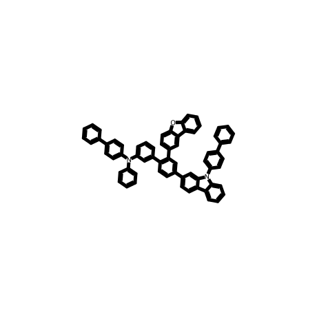 c1ccc(-c2ccc(N(c3ccccc3)c3cccc(-c4ccc(-c5ccc6c7ccccc7n(-c7ccc(-c8ccccc8)cc7)c6c5)cc4-c4ccc5oc6ccccc6c5c4)c3)cc2)cc1